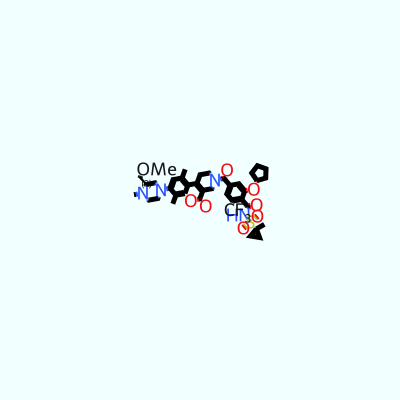 COC[C@H]1CN(c2cc(C)c3c4c(c(=O)oc3c2C)CN(C(=O)c2cc(OC3CCCC3)c(C(=O)NS(=O)(=O)C3(C)CC3)c(C(F)(F)F)c2)CC4)CCN1C